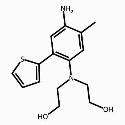 Cc1cc(N(CCO)CCO)c(-c2cccs2)cc1N